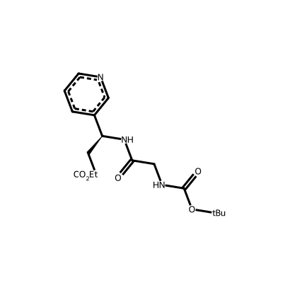 CCOC(=O)C[C@H](NC(=O)CNC(=O)OC(C)(C)C)c1cccnc1